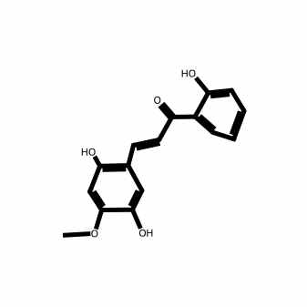 COc1cc(O)c(C=CC(=O)c2ccccc2O)cc1O